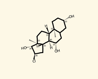 C[C@]12CC[C@H]3[C@@H]([C@@H](O)CC4C[C@@H](O)CC[C@@]43C)[C@@H]1C[C@@H](Cl)[C@@H]2O